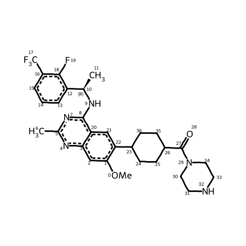 COc1cc2nc(C)nc(N[C@H](C)c3cccc(C(F)(F)F)c3F)c2cc1C1CCC(C(=O)N2CCNCC2)CC1